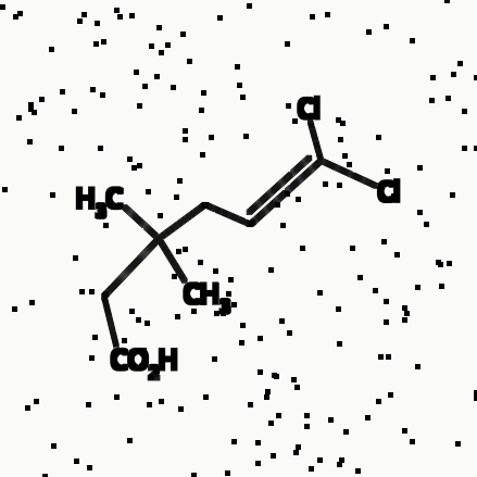 CC(C)(CC=C(Cl)Cl)CC(=O)O